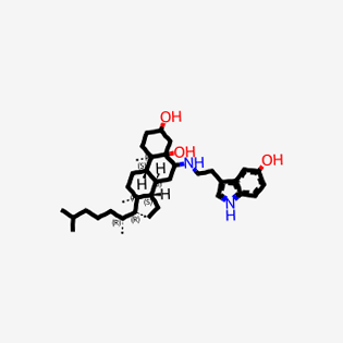 CC(C)CCC[C@@H](C)[C@H]1CC[C@H]2[C@@H]3CC(NCCc4c[nH]c5ccc(O)cc45)C4(O)CC(O)CC[C@]4(C)[C@H]3CC[C@]12C